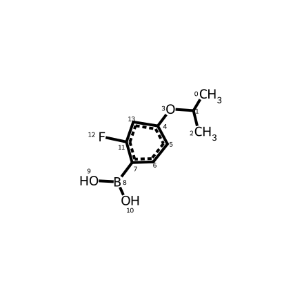 CC(C)Oc1ccc(B(O)O)c(F)c1